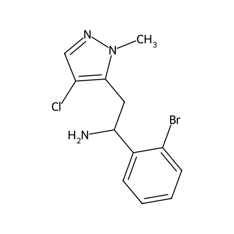 Cn1ncc(Cl)c1CC(N)c1ccccc1Br